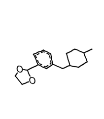 CC1CCC(Cc2cccc(C3OCCO3)c2)CC1